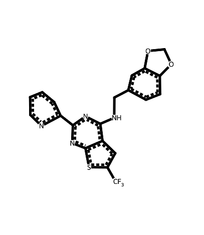 FC(F)(F)c1cc2c(NCc3ccc4c(c3)OCO4)nc(-c3ccccn3)nc2s1